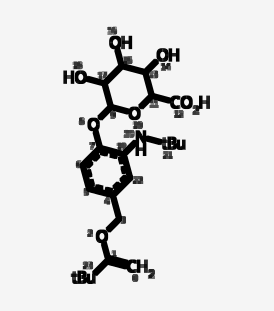 C=C(OCc1ccc(OC2OC(C(=O)O)C(O)C(O)C2O)c(NC(C)(C)C)c1)C(C)(C)C